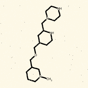 CN1CCCC(COCC2CCNC(CN3CCNCC3)C2)C1